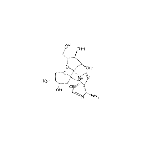 Nc1ncnc2c1ncn2[C@]1(C2(CO)OC[C@@H](O)[C@@H](O)[C@H]2O)O[C@H](CO)[C@@H](O)[C@H]1O